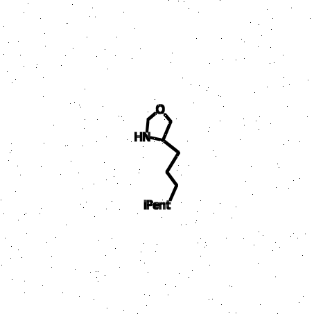 CCCC(C)CCCC1COCN1